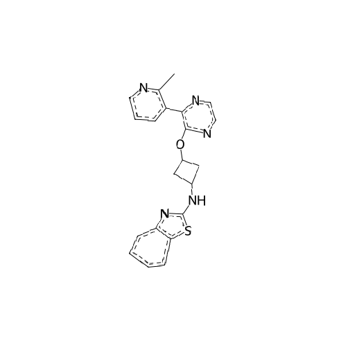 Cc1ncccc1-c1nccnc1OC1CC(Nc2nc3ccccc3s2)C1